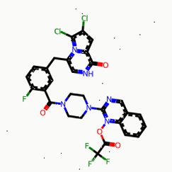 O=C(c1cc(Cc2c[nH]c(=O)c3cc(Cl)c(Cl)n23)ccc1F)N1CCN(c2ncc3ccccc3[n+]2OC(=O)C(F)(F)F)CC1